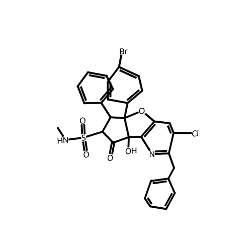 CNS(=O)(=O)C1C(=O)C2(O)c3nc(Cc4ccccc4)c(Cl)cc3OC2(c2ccc(Br)cc2)C1c1ccccc1